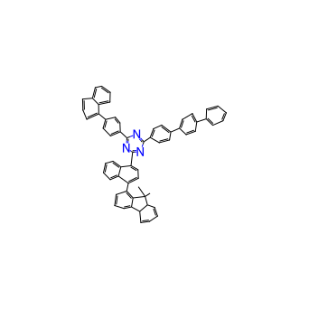 CC1(C)c2c(-c3ccc(-c4nc(-c5ccc(-c6ccc(-c7ccccc7)cc6)cc5)nc(-c5ccc(-c6cccc7ccccc67)cc5)n4)c4ccccc34)cccc2C2C=CC=CC21